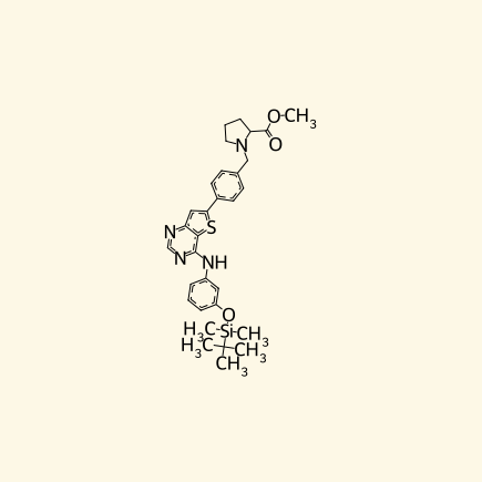 COC(=O)C1CCCN1Cc1ccc(-c2cc3ncnc(Nc4cccc(O[Si](C)(C)C(C)(C)C)c4)c3s2)cc1